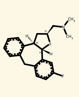 CN(C)C[C@@H]1C[C@@H]2c3ccccc3Cc3ccc(F)cc3[C@H]2S1